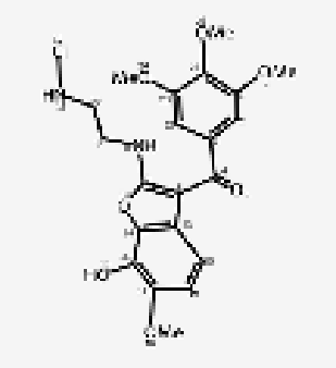 COc1cc(C(=O)c2c(NCCNCl)oc3c(O)c(OC)ccc23)cc(OC)c1OC